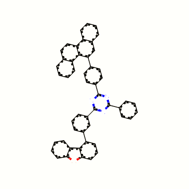 c1ccc(-c2nc(-c3ccc(-c4cc5ccccc5c5ccc6ccccc6c45)cc3)nc(-c3cccc(-c4cccc5oc6ccccc6c45)c3)n2)cc1